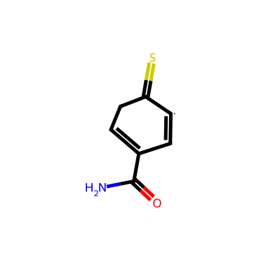 NC(=O)C1=CCC(=S)[C]=C1